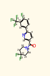 O=C(c1ccc(-c2ccc(F)c(C(F)(F)F)c2)nc1)N1CCC(F)(F)CC1